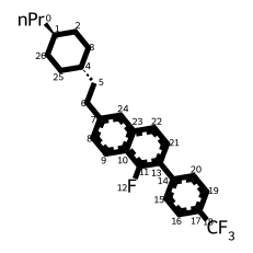 CCC[C@H]1CC[C@H](CCc2ccc3c(F)c(-c4ccc(C(F)(F)F)cc4)ccc3c2)CC1